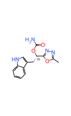 Cc1nnc([C@H](Cc2c[nH]c3ccccc23)OC(N)=O)o1